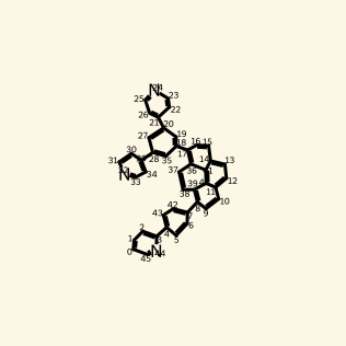 c1ccc(-c2ccc(-c3ccc4ccc5ccc(-c6cc(-c7ccncc7)cc(-c7ccncc7)c6)c6ccc3c4c56)cc2)nc1